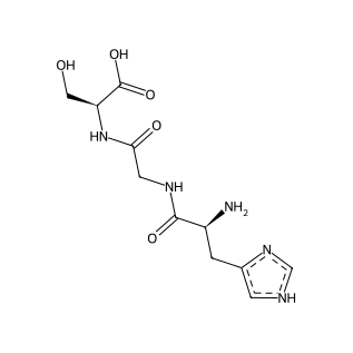 N[C@@H](Cc1c[nH]cn1)C(=O)NCC(=O)N[C@@H](CO)C(=O)O